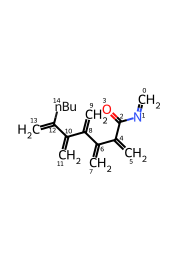 C=NC(=O)C(=C)C(=C)C(=C)C(=C)C(=C)CCCC